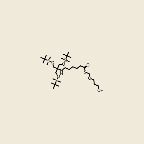 CC(C)(C)[Si](C)(C)OCC(CO[Si](C)(C)C(C)(C)C)(CO[Si](C)(C)C(C)(C)C)NCCCCCC(=O)SCOCCCO